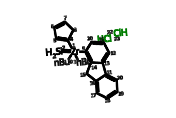 CCC[CH2][Zr](=[SiH2])([CH2]CCC)([C]1=CC=CC1)[c]1cccc2c1Cc1ccccc1-2.Cl.Cl